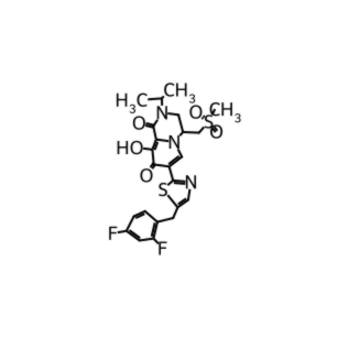 CC(C)N1CC(CS(C)(=O)=O)n2cc(-c3ncc(Cc4ccc(F)cc4F)s3)c(=O)c(O)c2C1=O